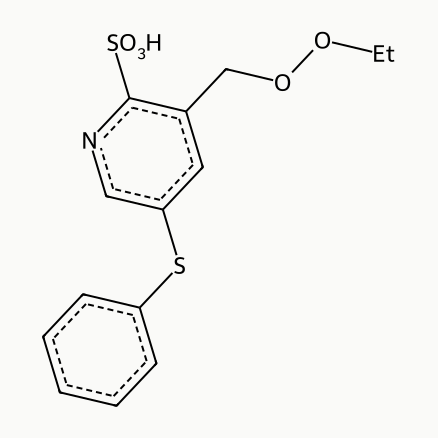 CCOOCc1cc(Sc2ccccc2)cnc1S(=O)(=O)O